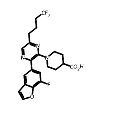 O=C(O)C1CCN(c2nc(CCCC(F)(F)F)cnc2-c2cc(F)c3occc3c2)CC1